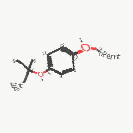 CCCCCOc1ccc(OC(C)(C)CC)cc1